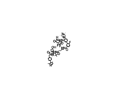 Cc1ncsc1-c1ccc(CNC(=O)[C@@H]2C[C@@H](O)CN2C(=O)[C@@H](NC(=O)CCCCNC(=O)c2ccc(F)c(-c3ccc(N4C[C@@H](C)N(C)[C@@H](C)C4)c(NC(=O)c4c[nH]c(=O)cc4C(F)(F)F)c3)c2)C(C)(C)C)cc1